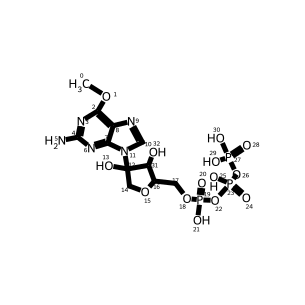 COc1nc(N)nc2c1ncn2C1(O)COC(COP(=O)(O)OP(=O)(O)OP(=O)(O)O)C1O